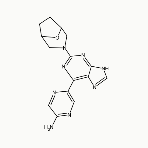 Nc1cnc(-c2nc(N3CC4CCC(C3)O4)nc3[nH]cnc23)cn1